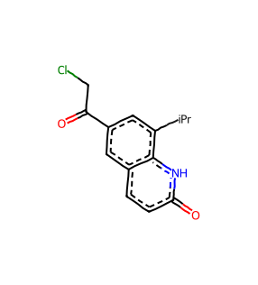 CC(C)c1cc(C(=O)CCl)cc2ccc(=O)[nH]c12